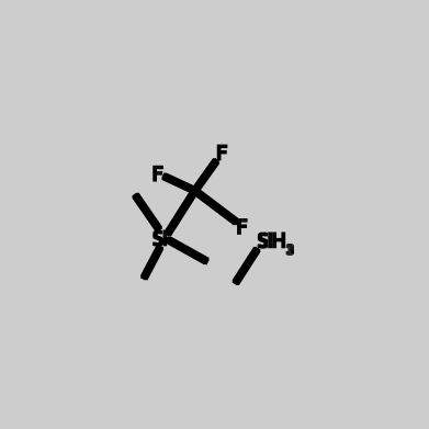 C[SiH3].C[Si](C)(C)C(F)(F)F